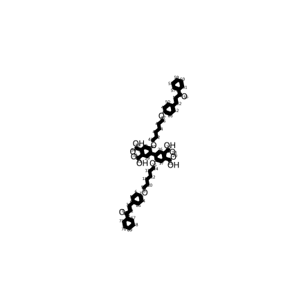 O=C(C=Cc1ccc(OCCCCCCOc2cc(C(=O)O)c(C(=O)O)cc2-c2cc(C(=O)O)c(C(=O)O)cc2OCCCCCCOc2ccc(C=CC(=O)c3ccccc3)cc2)cc1)c1ccccc1